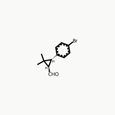 CC1(C)[C@H](C=O)[C@H]1c1ccc(Br)cc1